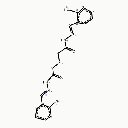 O=C(CSCC(=O)N/N=C/c1ccccc1O)N/N=C/c1ccccc1O